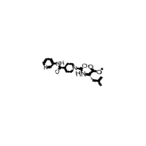 COC(=O)[C@H](CC(C)C)NC(=O)N1CCC(C(=O)Nc2cccnc2)CC1